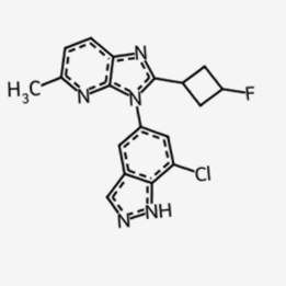 Cc1ccc2nc(C3CC(F)C3)n(-c3cc(Cl)c4[nH]ncc4c3)c2n1